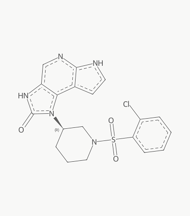 O=c1[nH]c2cnc3[nH]ccc3c2n1[C@@H]1CCCN(S(=O)(=O)c2ccccc2Cl)C1